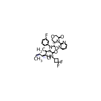 C=C(/C(Cl)=C\C=C/C)[C@@H](C(=O)NC1CC(F)(F)C1)N(C(=O)[C@@H]1COCC(=O)N1c1ncccn1)c1cccc(F)c1